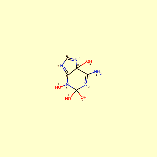 NC1=NC(O)(O)N(O)C2=NC=NC12O